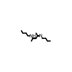 CCCCN=C(C)C=C(C)NCCCC